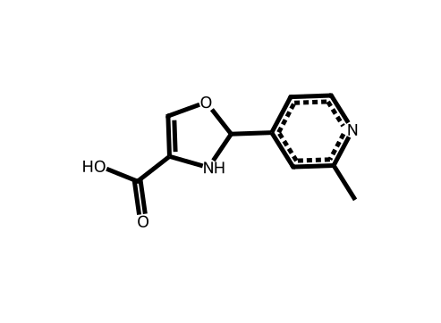 Cc1cc(C2NC(C(=O)O)=CO2)ccn1